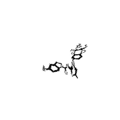 Cc1cn(-c2ccc3c(c2)OC(F)(F)C(F)(F)O3)c(=NC(=O)N2CCc3cc(Br)ccc32)s1